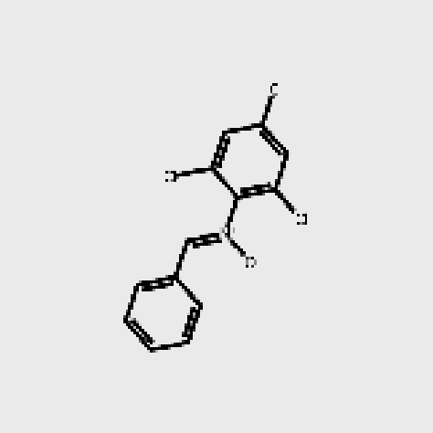 [O-][N+](=Cc1ccccc1)c1c(Cl)cc(Cl)cc1Cl